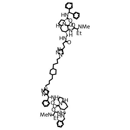 CC[C@H](NC)C(=O)N[C@@H]1C(=O)N2[C@@H](CC[C@@H]1CNC(=O)CCc1cn(CCCCC3CCC(CCCCn4cc([C@@H](NC(=O)[C@@H]5CC[C@@H]6CC[C@H](CNCc7ccccc7)[C@H](NC(=O)[C@H](CC)NC)C(=O)N65)c5ccccc5)nn4)CC3)nn1)CC[C@H]2C(=O)NC(c1ccccc1)c1ccccc1